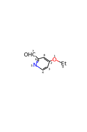 CCOc1ccnc(C=O)c1